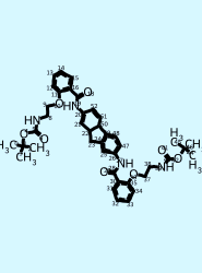 CC(C)(C)OC(=O)NCCOc1ccccc1C(=O)NC1=CC2Cc3cc(NC(=O)c4ccccc4OCCNC(=O)OC(C)(C)C)ccc3C2C=C1